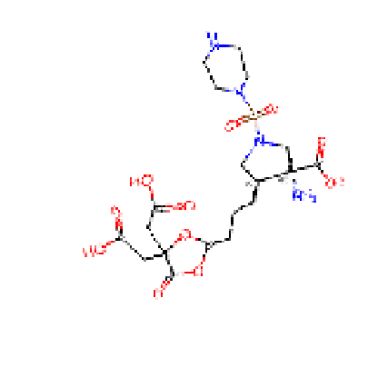 N[C@@]1(C(=O)O)CN(S(=O)(=O)N2CCNCC2)C[C@@H]1CCCB1OC(=O)C(CC(=O)O)(CC(=O)O)O1